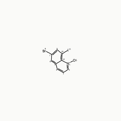 [O-][n+]1cccc2cc(Br)cc(I)c21